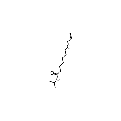 C=CCOCCCCCCC(=O)OC(C)C